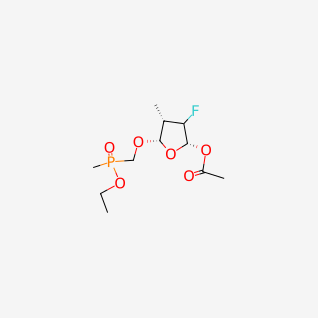 CCOP(C)(=O)CO[C@H]1O[C@@H](OC(C)=O)C(F)[C@H]1C